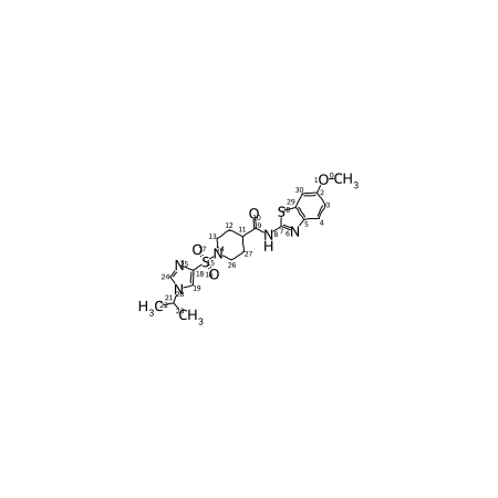 COc1ccc2nc(NC(=O)C3CCN(S(=O)(=O)c4cn(C(C)C)cn4)CC3)sc2c1